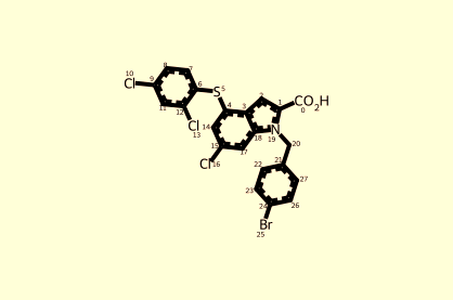 O=C(O)c1cc2c(Sc3ccc(Cl)cc3Cl)cc(Cl)cc2n1Cc1ccc(Br)cc1